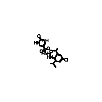 CC(C)c1cc(Cl)cc(C(C)C)c1NC(=O)NS(=O)(=O)C1=CNC(=O)NC1